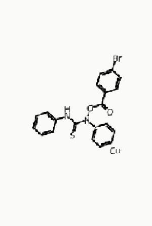 O=C(ON(C(=S)Nc1ccccc1)c1ccccc1)c1ccc(Br)cc1.[Cu]